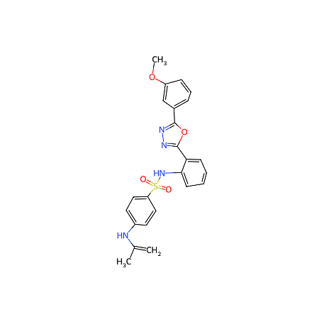 C=C(C)Nc1ccc(S(=O)(=O)Nc2ccccc2-c2nnc(-c3cccc(OC)c3)o2)cc1